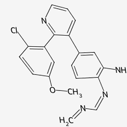 C=N/C=N\c1ccc(-c2cccnc2-c2cc(OC)ccc2Cl)cc1N